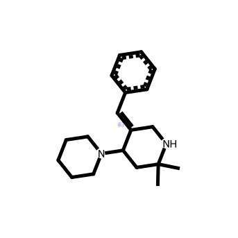 CC1(C)CC(N2CCCCC2)/C(=C/c2ccccc2)CN1